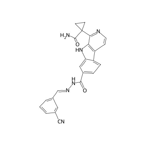 N#Cc1cccc(C=NNC(=O)c2ccc3c(c2)[nH]c2c(C4(C(N)=O)CC4)nccc23)c1